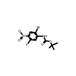 CC(C)(C)OC(=O)Nc1cc(F)c([N+](=O)[O-])cc1Br